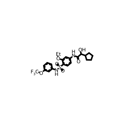 CCOc1cc(NC(=O)C(O)C2CCCC2)ccc1S(=O)(=O)Nc1cccc(OC(F)(F)F)c1